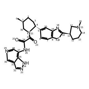 C[C@H]1CC[C@H](c2ccc3sc([C@@H]4CCCN(C)C4)nc3c2)N(C(=O)C(=O)Nc2cncc3cn[nH]c23)C1